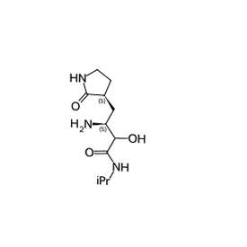 CC(C)NC(=O)C(O)[C@@H](N)C[C@@H]1CCNC1=O